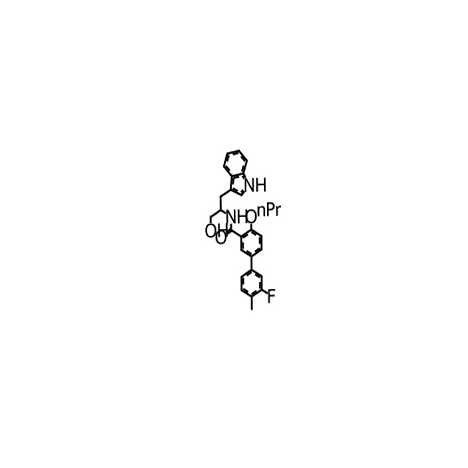 CCCOc1ccc(-c2ccc(C)c(F)c2)cc1C(=O)NC(CO)Cc1c[nH]c2ccccc12